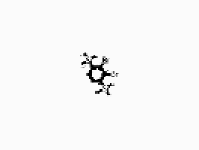 C[Si](C)(C)c1ccc([Si](C)(C)C)c(Br)c1Br